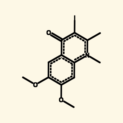 COc1cc2c(=O)c(I)c(C)n(C)c2cc1OC